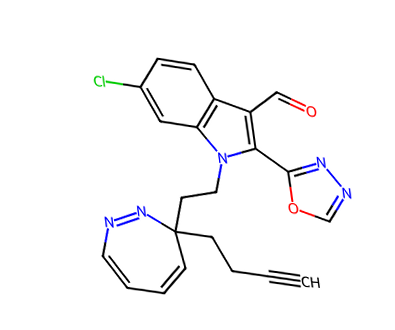 C#CCCC1(CCn2c(-c3nnco3)c(C=O)c3ccc(Cl)cc32)C=CC=CN=N1